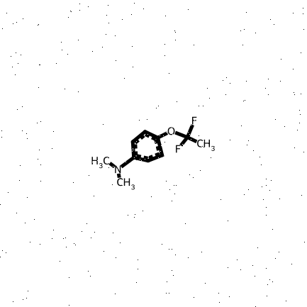 CN(C)c1ccc(OC(C)(F)F)cc1